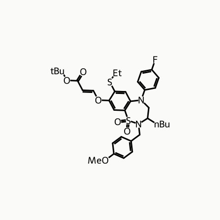 CCCCC1CN(c2ccc(F)cc2)c2cc(SCC)c(O/C=C/C(=O)OC(C)(C)C)cc2S(=O)(=O)N1Cc1ccc(OC)cc1